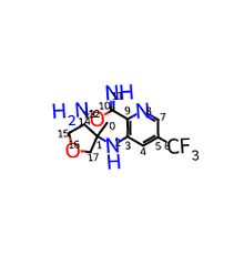 CC1(Nc2cc(C(F)(F)F)cnc2C(=N)ON)CCOC1